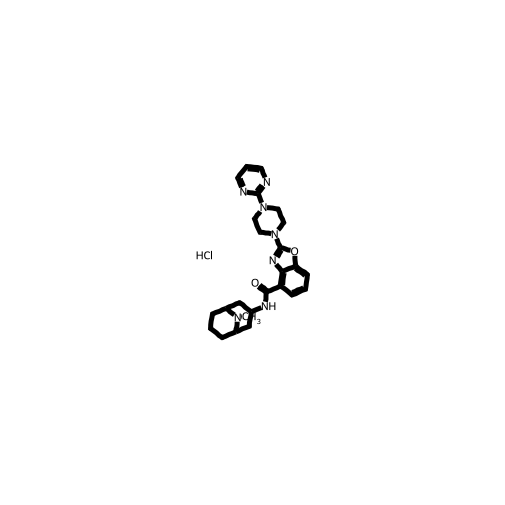 CN1C2CCCC1CC(NC(=O)c1cccc3oc(N4CCN(c5ncccn5)CC4)nc13)C2.Cl